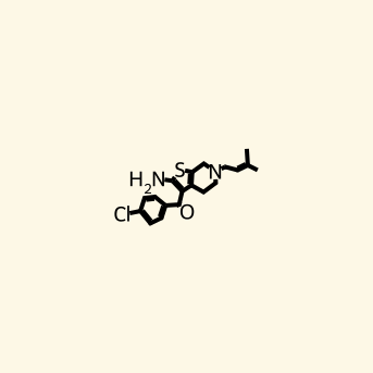 CC(C)=CCN1CCc2c(sc(N)c2C(=O)c2ccc(Cl)cc2)C1